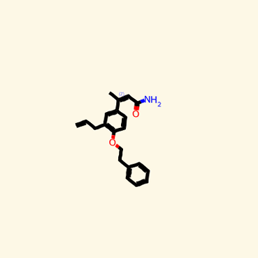 C=CCc1cc(/C(C)=C\C(N)=O)ccc1OCCc1ccccc1